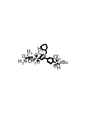 Cc1c(S(=O)(=O)NCC(C)(C)C(N)=O)cc(-c2ccc(S(=O)(=O)NC(C)(C)C)c(C(F)(F)F)c2)n1CC1CCCCC1